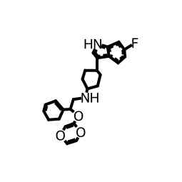 Fc1ccc2c(C3CCC(NCC(OC4=COC=CO4)C4=CC=CCC4)CC3)c[nH]c2c1